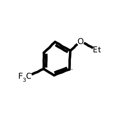 CCOc1[c]cc(C(F)(F)F)cc1